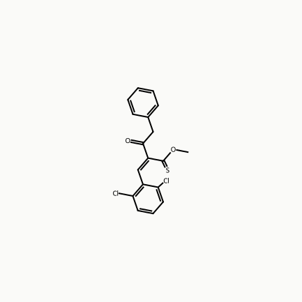 COC(=S)C(=Cc1c(Cl)cccc1Cl)C(=O)Cc1ccccc1